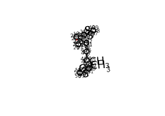 CC1(C)c2cc(-c3ccc(-c4ccc5c(c4)C(c4ccccc4)(c4ccccc4)c4ccc6c(c4-5)Sc4ccccc4S6)cc3)ccc2-c2c1ccc1c2Oc2ccccc2S1